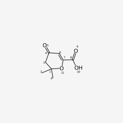 CC1(C)CC(=O)C=C(C(=O)O)O1